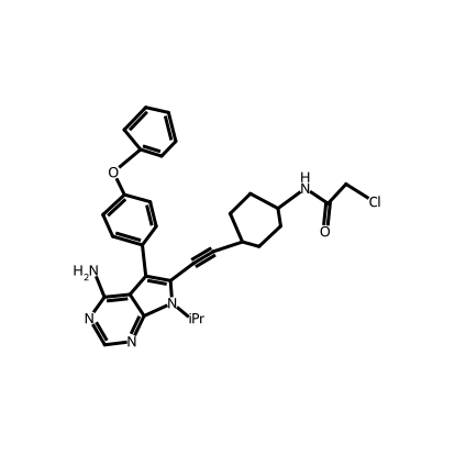 CC(C)n1c(C#CC2CCC(NC(=O)CCl)CC2)c(-c2ccc(Oc3ccccc3)cc2)c2c(N)ncnc21